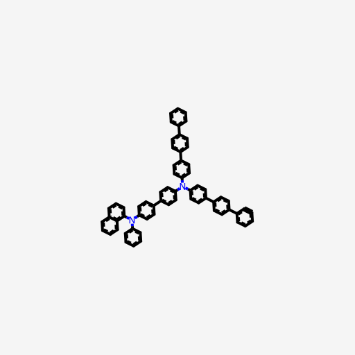 c1cccc(-c2ccc(-c3ccc(N(c4ccc(-c5ccc(-c6ccccc6)cc5)cc4)c4ccc(-c5ccc(N(c6ccccc6)c6cccc7ccccc67)cc5)cc4)cc3)cc2)c#1